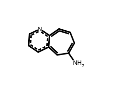 NC1=CC=C=c2ncccc2=C1